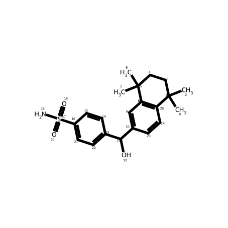 CC1(C)CCC(C)(C)c2cc(C(O)c3ccc(S(N)(=O)=O)cc3)ccc21